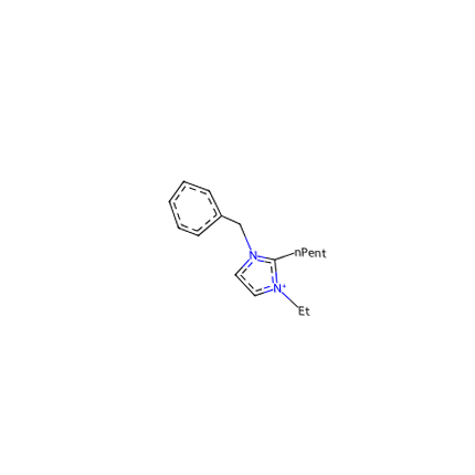 CCCCCc1n(Cc2ccccc2)cc[n+]1CC